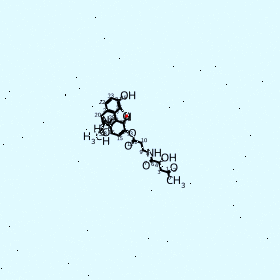 CC(=O)C[C@H](O)C(=O)NCCC(=O)OC1=CC[C@@]2(O)[C@H]3Cc4ccc(O)c5c4[C@@]2(CCN3C)[C@H]1O5